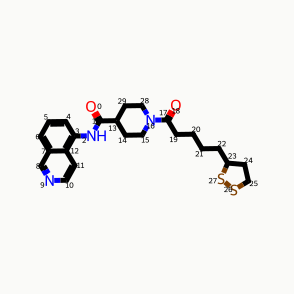 O=C(Nc1cccc2cnccc12)C1CCN(C(=O)CCCCC2CCSS2)CC1